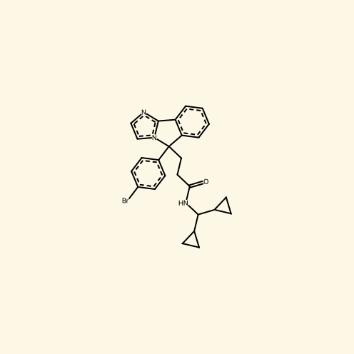 O=C(CCC1(c2ccc(Br)cc2)c2ccccc2-c2nccn21)NC(C1CC1)C1CC1